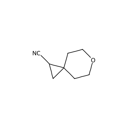 N#CC1CC12CCOCC2